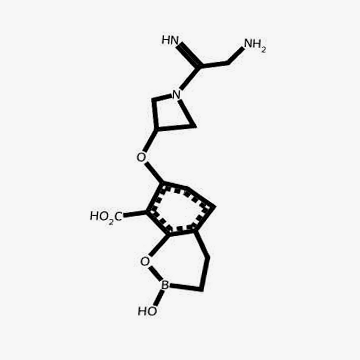 N=C(CN)N1CC(Oc2ccc3c(c2C(=O)O)OB(O)CC3)C1